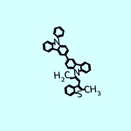 C=C/C(=C\c1c(C)sc2ccccc12)n1c2ccccc2c2cc(-c3ccc4c(c3)c3ccccc3n4-c3ccccc3)ccc21